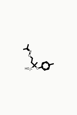 CC(C)=NOCCC(C)(Oc1ccc(C)cc1)C(=O)O